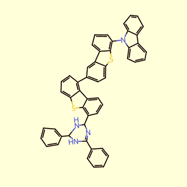 c1ccc(C2=NC(c3cccc4c3sc3cccc(-c5ccc6sc7c(-n8c9ccccc9c9ccccc98)cccc7c6c5)c34)NC(c3ccccc3)N2)cc1